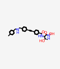 Cc1ccc(CNCc2ccc(C#Cc3ccc(C(=O)N[C@H](C(=O)NO)[C@@H](C)O)cc3)cc2)cc1